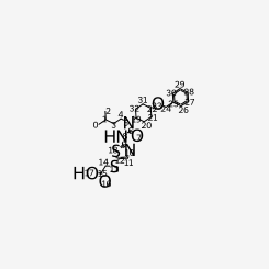 CC(C)CCN(C(=O)Nc1ncc(SCC(=O)O)s1)C1CCC(OCc2ccccc2)CC1